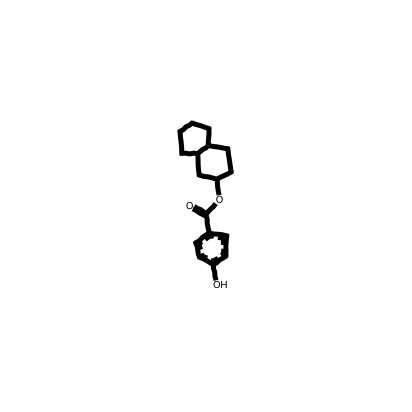 O=C(OC1CCC2CCCCC2C1)c1ccc(O)cc1